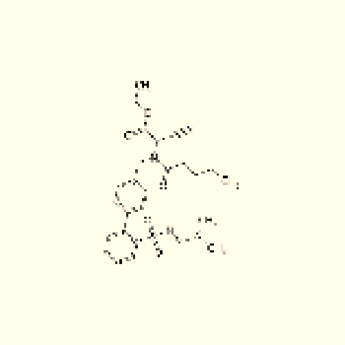 CCCCC(=O)N(Cc1ccc(-c2ccccc2S(=O)(=O)/N=C/N(C)C)cc1)C(C#N)C(=O)OCC